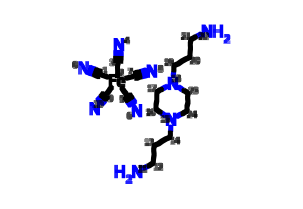 N#[C][Fe]([C]#N)([C]#N)([C]#N)[C]#N.NCCCN1CCN(CCCN)CC1